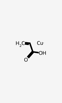 C=CC(=O)O.[Cu]